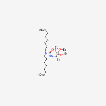 CCCCCCCCCCCCCCCCN(CCCCCCCCCCCCCCCC)C(=O)NC(CC)[Si](OCC)(OCC)OCC